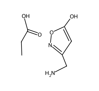 CCC(=O)O.NCc1cc(O)on1